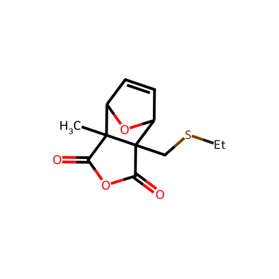 CCSCC12C(=O)OC(=O)C1(C)C1C=CC2O1